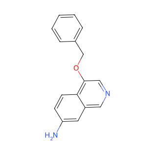 Nc1ccc2c(OCc3ccccc3)cncc2c1